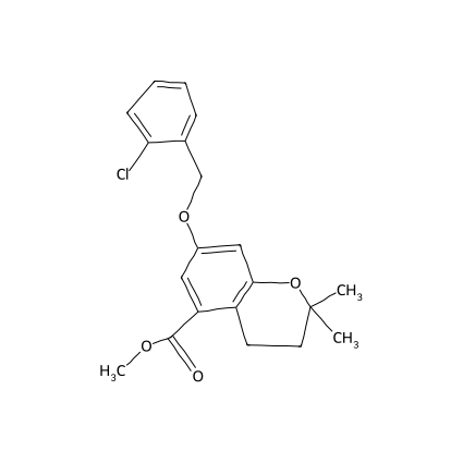 COC(=O)c1cc(OCc2ccccc2Cl)cc2c1CCC(C)(C)O2